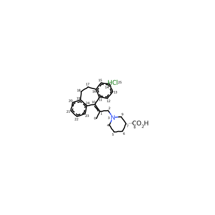 CC(CN1CCC[C@@H](C(=O)O)C1)=C1c2ccccc2CCc2ccccc21.Cl